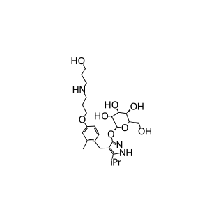 Cc1cc(OCCCNCCCO)ccc1Cc1c(O[C@@H]2O[C@H](CO)[C@H](O)[C@H](O)[C@H]2O)n[nH]c1C(C)C